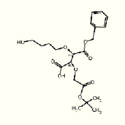 CC(C)(C)OC(=O)CO[C@@H](C(=O)O)[C@@H](OCCCCO)C(=O)OCc1ccccc1